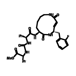 COC(=O)C(NC(=O)N[C@H](C(=O)N[C@H]1CCCCNC(=O)/C=C/[C@H](Cc2ccccc2F)NC1=O)C(C)C)C(C)C